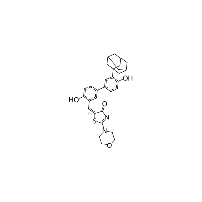 O=C1N=C(N2CCOCC2)S/C1=C/c1cc(-c2ccc(O)c(C34CC5CC(CC(C5)C3)C4)c2)ccc1O